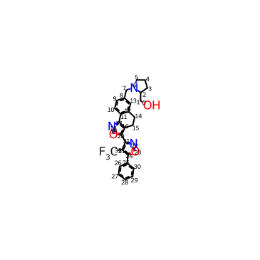 OCC1CCCN1Cc1ccc2c(c1)CCc1c-2noc1-c1noc(-c2ccccc2)c1C(F)(F)F